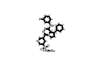 CC(C)(C)NS(=O)(=O)c1cncc(-c2nnc(Nc3cccc(F)c3)c3c(-c4ccccc4)ccn23)c1